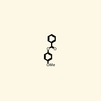 COc1ccc(OC(=O)c2ccccc2)cc1